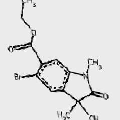 CCOC(=O)c1cc2c(cc1Br)C(C)(C)C(=O)N2C